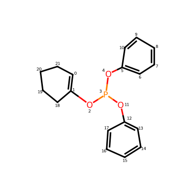 C1=C(OP(Oc2ccccc2)Oc2ccccc2)CCCC1